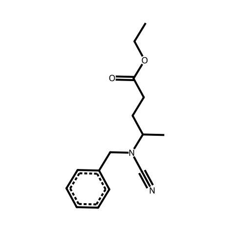 CCOC(=O)CCC(C)N(C#N)Cc1ccccc1